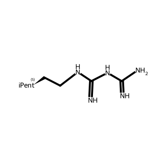 CCC[C@H](C)CCNC(=N)NC(=N)N